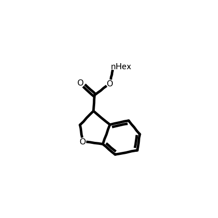 CCCCCCOC(=O)C1COc2ccccc21